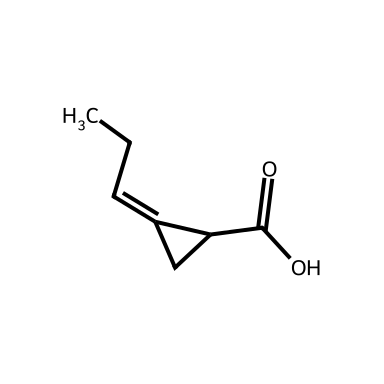 CC/C=C1/CC1C(=O)O